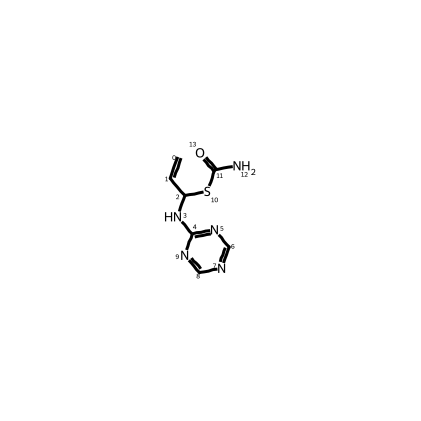 C=CC(Nc1ncncn1)SC(N)=O